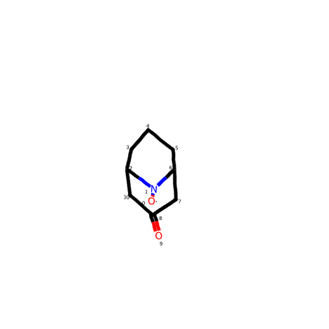 [O]N1C2CCCC1CC(=O)C2